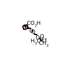 CCC(C)(C)C(=O)OCCOOCC1C2C=CC(CC2)C1C(=O)O